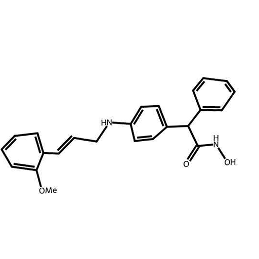 COc1ccccc1C=CCNc1ccc(C(C(=O)NO)c2ccccc2)cc1